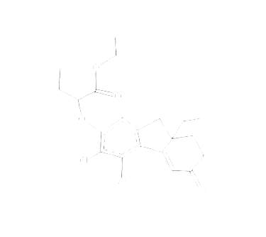 CCOC(=O)C(CC)Oc1cc2c(c(Cl)c1Cl)C1=CC(=O)CCC1(CC)C2